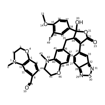 CN1CCOc2ccc(C=O)cc21.COc1ccc(C2(O)OC(=O)C(c3ccc4nsnc4c3)=C2Cc2ccc3c(c2)N(C)CCO3)cc1F